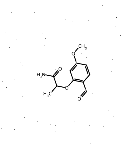 COc1ccc(C=O)c(OC(C)C(N)=O)c1